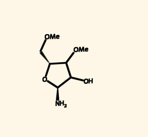 COC[C@H]1O[C@H](N)C(O)C1OC